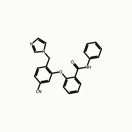 N#Cc1ccc(Cn2ccnc2)c(Oc2ccccc2C(=O)Nc2ccccc2)c1